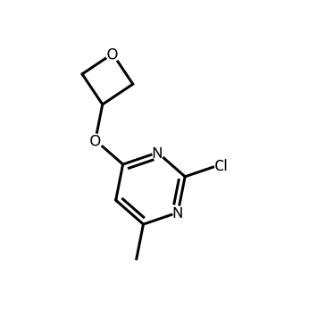 Cc1cc(OC2COC2)nc(Cl)n1